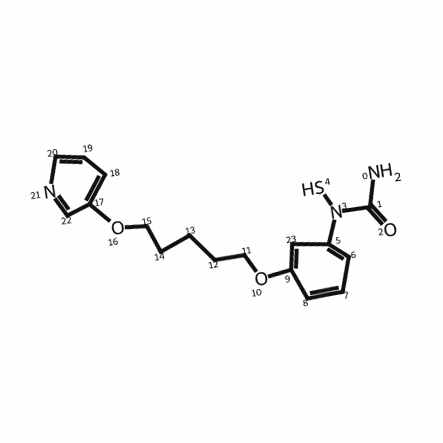 NC(=O)N(S)c1cccc(OCCCCCOc2cccnc2)c1